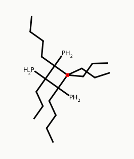 CCCCC(P)(CCCC)C(P)(CCC)C(P)(CCCC)CCCC